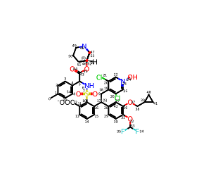 Cc1ccc(C(NS(=O)(=O)c2c(C(=O)[O-])cccc2[C@@H](Cc2c(Cl)c[n+](O)cc2Cl)c2ccc(OC(F)F)c(OCC3CC3)c2)C(=O)O[C@H]2CN3CCC2CC3)cc1